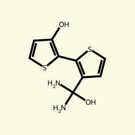 NC(N)(O)c1ccsc1-c1sccc1O